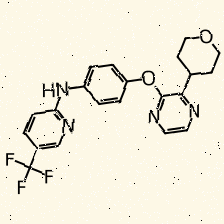 FC(F)(F)c1ccc(Nc2ccc(Oc3nccnc3C3CCOCC3)cc2)nc1